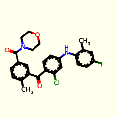 Cc1cc(F)ccc1Nc1ccc(C(=O)c2cc(C(=O)N3CCOCC3)ccc2C)c(Cl)c1